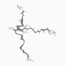 C=C(CCCCCCCCC)C(C)(CCCCCCBr)C(C)CCCCCCCCC